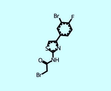 O=C(CBr)Nc1nc(-c2ccc(F)c(Br)c2)cs1